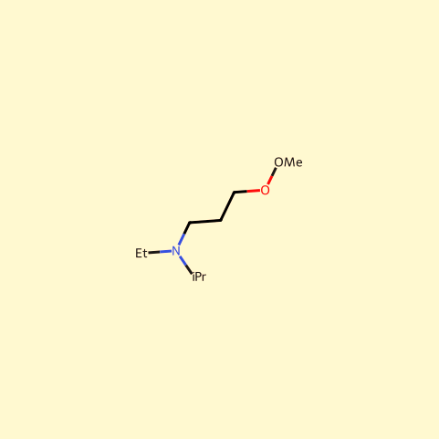 CCN(CCCOOC)C(C)C